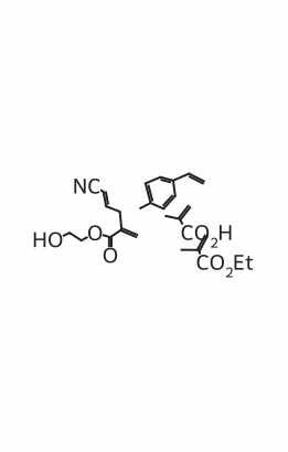 C=C(C)C(=O)O.C=C(C)C(=O)OCC.C=C(CC=CC#N)C(=O)OCCO.C=Cc1ccc(C)cc1